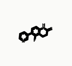 Fc1c(-c2cccnc2)ccc2c1CCC(=S)N2